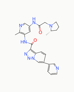 Cc1ncc(NC(=O)CN2CCC[C@@H]2C)cc1NC(=O)c1nnn2cc(-c3cccnc3)ccc12